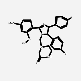 COc1ccc(C2=NC(c3ccc(F)cc3)C(c3ccc(Cl)cc3)N2CN2CCNC(=O)C2)c(OC(C)C)c1